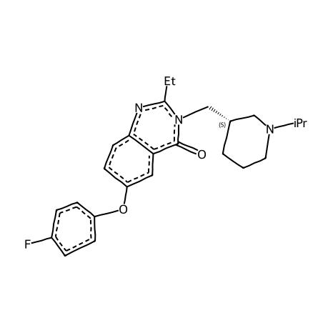 CCc1nc2ccc(Oc3ccc(F)cc3)cc2c(=O)n1C[C@H]1CCCN(C(C)C)C1